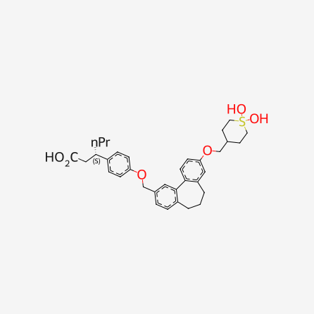 CCC[C@@H](CC(=O)O)c1ccc(OCc2ccc3c(c2)-c2ccc(OCC4CCS(O)(O)CC4)cc2CCC3)cc1